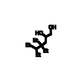 CCC(CC)C(CC)(CC)CC(O)CO